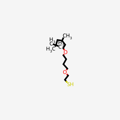 CC(CCOCCCCOCCS)CC(C)(C)C